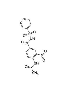 CC(=O)Nc1ccc(C(=O)NS(=O)(=O)c2ccccc2)cc1[N+](=O)[O-]